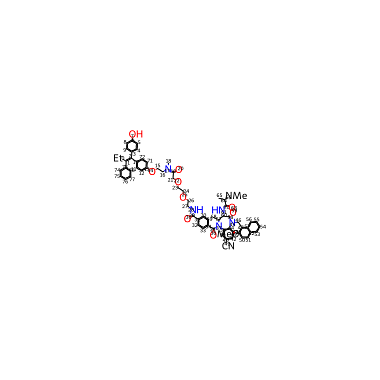 CC/C(=C(\c1ccc(O)cc1)c1ccc(OCCN(C)C(=O)COCCOCCNC(=O)c2ccc(C(=O)N3c4cc(C#N)ccc4N(Cc4c(OC)ccc5ccccc45)C(=O)[C@@H](NC(=O)[C@H](C)NC)[C@@H]3C)cc2)cc1)c1ccccc1